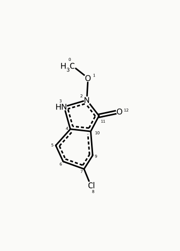 COn1[nH]c2ccc(Cl)cc2c1=O